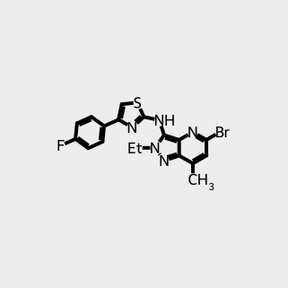 CCn1nc2c(C)cc(Br)nc2c1Nc1nc(-c2ccc(F)cc2)cs1